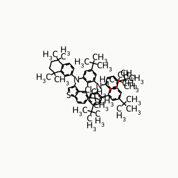 CC(C)(C)c1ccc(N(c2ccc(C(C)(C)C)cc2-c2cc(C(C)(C)C)cc(C(C)(C)C)c2)c2cc(C(C)(C)C)cc(N(c3ccc4c(c3)C(C)(C)CCC4(C)C)c3csc4ccc(C(C)(C)C)cc34)c2Cl)cc1